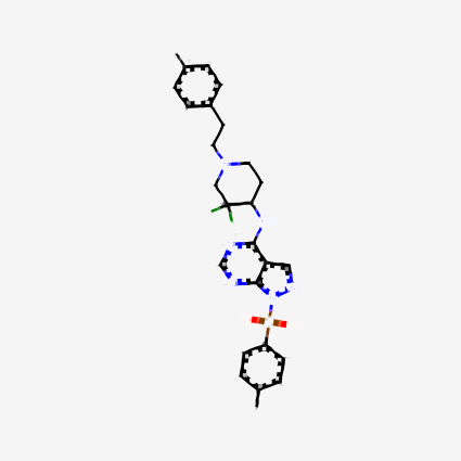 Cc1ccc(S(=O)(=O)n2ncc3c(NC4CCN(CCc5ccc(C(F)(F)F)cc5)CC4(F)F)ncnc32)cc1